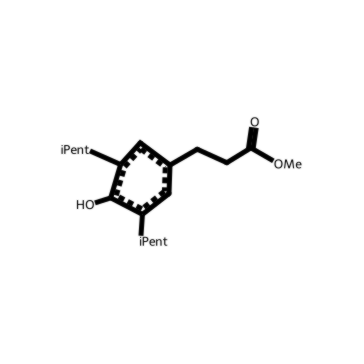 CCCC(C)c1cc(CCC(=O)OC)cc(C(C)CCC)c1O